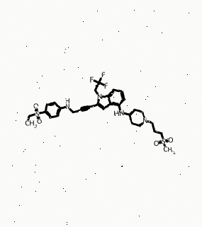 CCS(=O)(=O)c1ccc(NCC#Cc2cc3c(NC4CCN(CCCS(C)(=O)=O)CC4)cccc3n2CC(F)(F)F)cc1